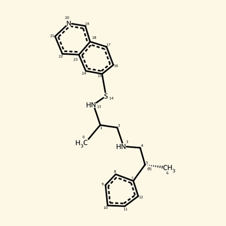 CC(CNC[C@H](C)c1ccccc1)NSc1ccc2cnccc2c1